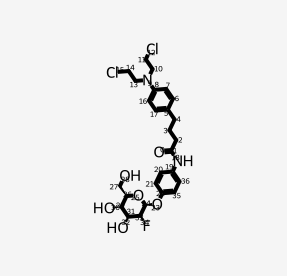 O=C(CCCc1ccc(N(CCCl)CCCl)cc1)Nc1ccc(O[C@@H]2O[C@H](CO)[C@@H](O)[C@H](O)[C@@H]2F)cc1